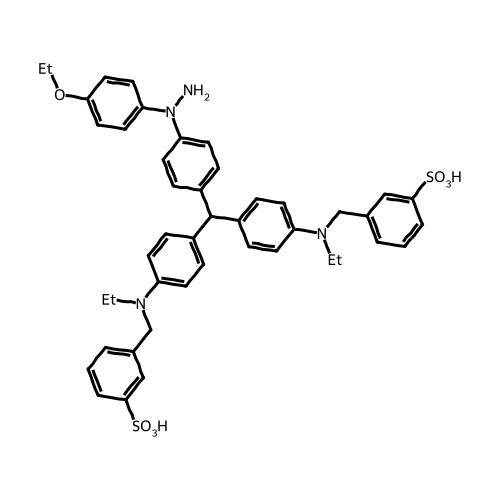 CCOc1ccc(N(N)c2ccc(C(c3ccc(N(CC)Cc4cccc(S(=O)(=O)O)c4)cc3)c3ccc(N(CC)Cc4cccc(S(=O)(=O)O)c4)cc3)cc2)cc1